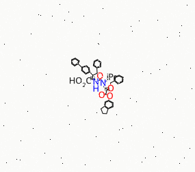 CC(C)CN(C[C@H](OCc1ccccc1)C(=O)Oc1ccc2c(c1)CCC2)C(=O)N[C@H](C(=O)O)C(Cc1ccccc1)c1ccc(-c2ccccc2)cc1